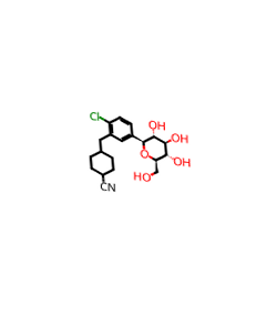 N#CC1CCC(Cc2cc([C@@H]3O[C@H](CO)[C@@H](O)[C@H](O)[C@H]3O)ccc2Cl)CC1